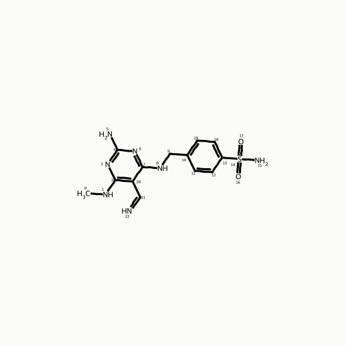 CNc1nc(N)nc(NCc2ccc(S(N)(=O)=O)cc2)c1C=N